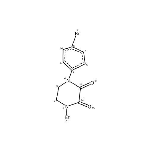 CCN1CCN(c2ccc(Br)cc2)C(=O)C1=O